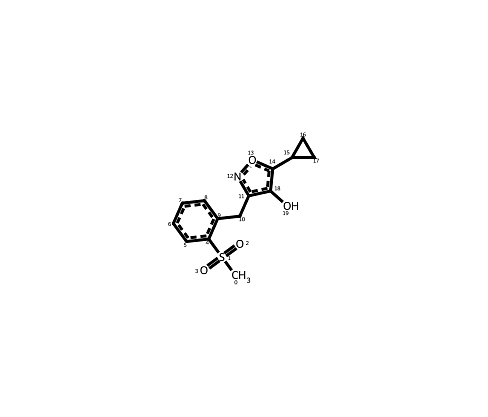 CS(=O)(=O)c1ccccc1Cc1noc(C2CC2)c1O